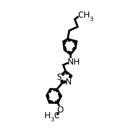 CCCCc1ccc(NCc2cnc(-c3cccc(OC)c3)s2)cc1